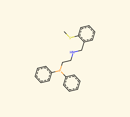 CSc1ccccc1CNCCP(c1ccccc1)c1ccccc1